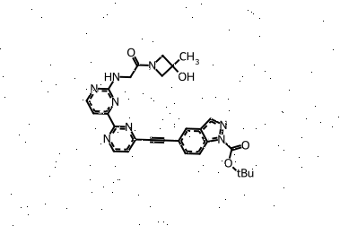 CC1(O)CN(C(=O)CNc2nccc(-c3nccc(C#Cc4ccc5c(cnn5C(=O)OC(C)(C)C)c4)n3)n2)C1